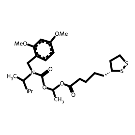 COc1ccc(CN(C(=O)OC(C)OC(=O)CCCC[C@@H]2CCSS2)C(C)C(C)C)c(OC)c1